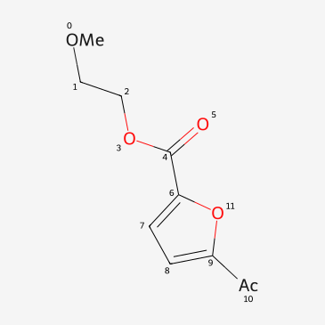 COCCOC(=O)c1ccc(C(C)=O)o1